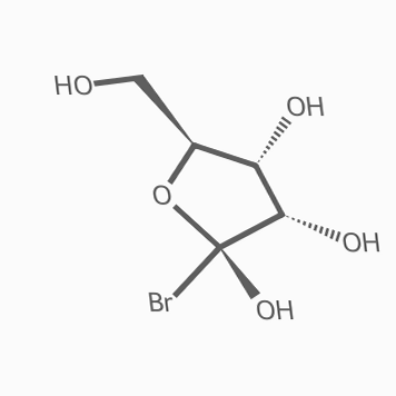 OC[C@@H]1O[C@@](O)(Br)[C@@H](O)[C@H]1O